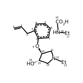 C=CCc1ccccc1O[C@H]1CN(CC)C[C@@H]1O.CCNC(=O)O